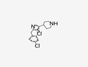 Clc1ccc(Cc2ncc(C3CCNCC3)s2)c(Cl)c1